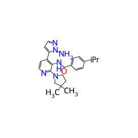 CC(C)c1ccc(C(=O)Nc2c(-c3ccnn3N)ccnc2N2CCC(C)(C)C2)cc1